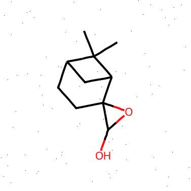 CC1(C)C2CCC3(OC3O)C1C2